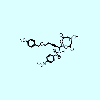 CN1CC(=O)OB(C(C#CCCOCc2ccc(C#N)cc2)NS(=O)(=O)c2ccc([N+](=O)[O-])cc2)OC(=O)C1